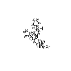 CCCNC(=O)c1ccc(OCc2ccccc2)c(N2CCC(O)(Cc3ccccc3)CC2)c1